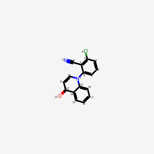 N#Cc1c(Cl)cccc1-n1ccc(=O)c2ccccc21